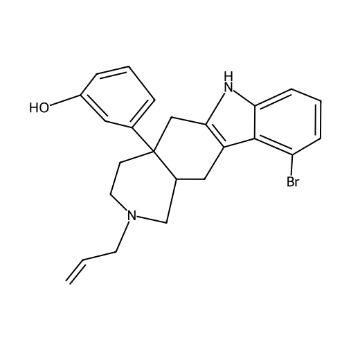 C=CCN1CCC2(c3cccc(O)c3)Cc3[nH]c4cccc(Br)c4c3CC2C1